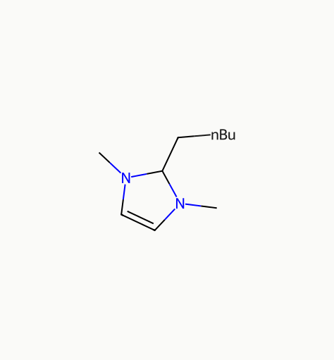 CCCCCC1N(C)C=CN1C